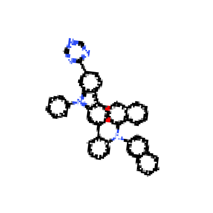 c1ccc(-n2c3cc(-c4ncncn4)ccc3c3ccc(-c4ccccc4N(c4ccc5ccccc5c4)c4cccc5ccccc45)cc32)cc1